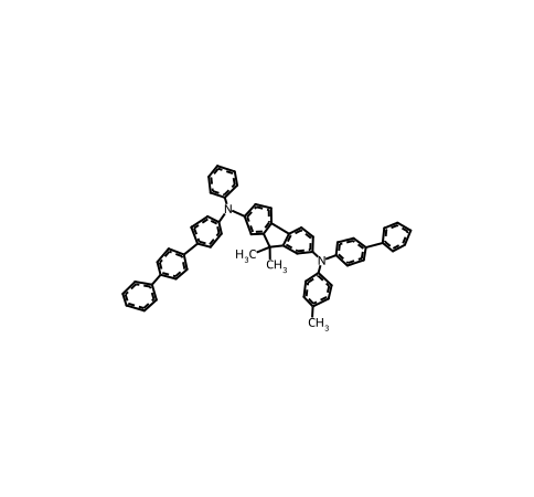 Cc1ccc(N(c2ccc(-c3ccccc3)cc2)c2ccc3c(c2)C(C)(C)c2cc(N(c4ccccc4)c4ccc(-c5ccc(-c6ccccc6)cc5)cc4)ccc2-3)cc1